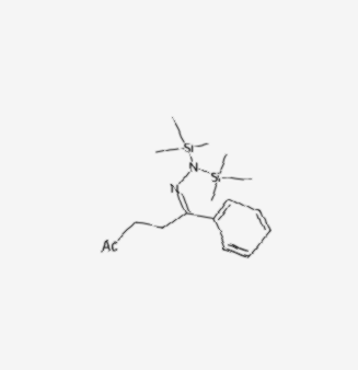 CC(=O)CC/C(=N/N([Si](C)(C)C)[Si](C)(C)C)c1ccccc1